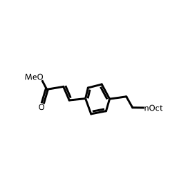 CCCCCCCCCCc1ccc(C=CC(=O)OC)cc1